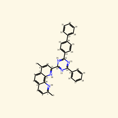 Cc1ccc2ccc3c(C)cc(-c4nc(-c5ccccc5)nc(-c5ccc(-c6ccccc6)cc5)n4)nc3c2n1